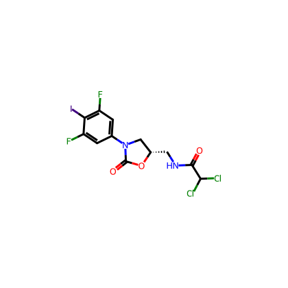 O=C(NC[C@H]1CN(c2cc(F)c(I)c(F)c2)C(=O)O1)C(Cl)Cl